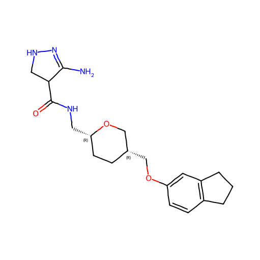 NC1=NNCC1C(=O)NC[C@H]1CC[C@@H](COc2ccc3c(c2)CCC3)CO1